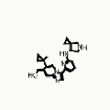 CC1(c2cn3c(-c4cccc(N[C@H]5CNCC56CC6)n4)cnc3cc2CO)CC1